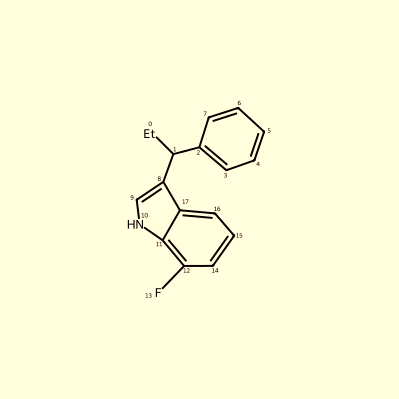 [CH2]CC(c1ccccc1)c1c[nH]c2c(F)cccc12